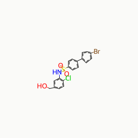 O=S(=O)(Nc1cc(CO)ccc1Cl)c1ccc(-c2ccc(Br)cc2)cc1